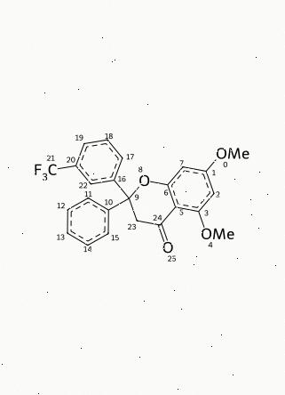 COc1cc(OC)c2c(c1)OC(c1ccccc1)(c1cccc(C(F)(F)F)c1)CC2=O